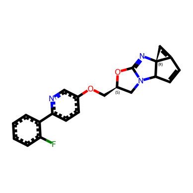 Fc1ccccc1-c1ccc(OC[C@@H]2CN3C(=N[C@]45C=C4C=CC35)O2)cn1